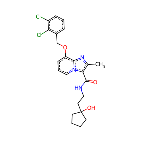 Cc1nc2c(OCc3cccc(Cl)c3Cl)cccn2c1C(=O)NCCC1(O)CCCC1